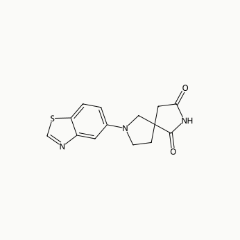 O=C1CC2(CCN(c3ccc4scnc4c3)C2)C(=O)N1